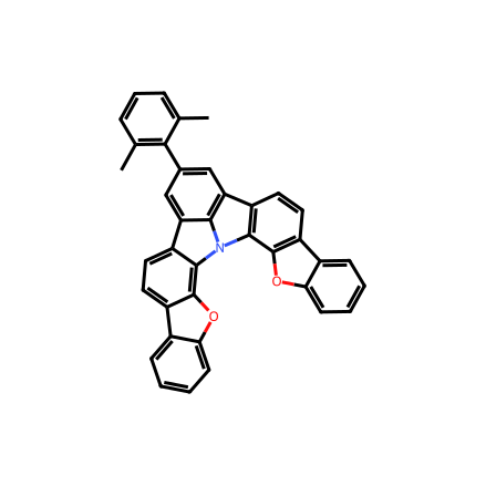 Cc1cccc(C)c1-c1cc2c3ccc4c5ccccc5oc4c3n3c2c(c1)c1ccc2c4ccccc4oc2c13